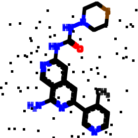 Cc1ccncc1-c1cc2cc(NC(=O)NN3CCSCC3)ncc2c(N)n1